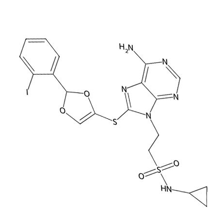 Nc1ncnc2c1nc(SC1=COC(c3ccccc3I)O1)n2CCS(=O)(=O)NC1CC1